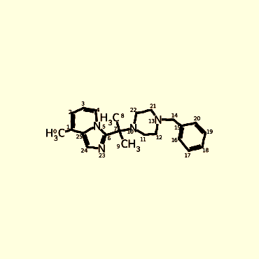 Cc1cccn2c(C(C)(C)N3CCN(Cc4ccccc4)CC3)ncc12